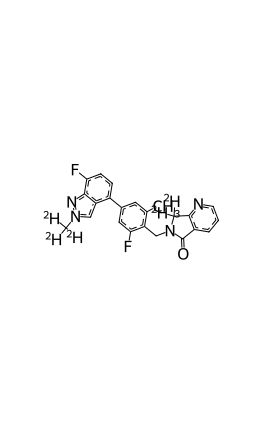 [2H]C1([2H])c2ncccc2C(=O)N1Cc1c(C)cc(-c2ccc(F)c3nn(C([2H])([2H])[2H])cc23)cc1F